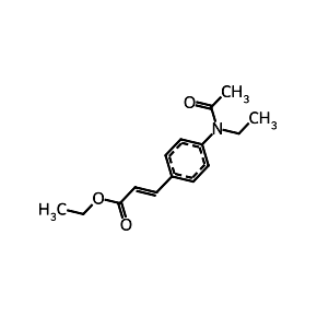 CCOC(=O)C=Cc1ccc(N(CC)C(C)=O)cc1